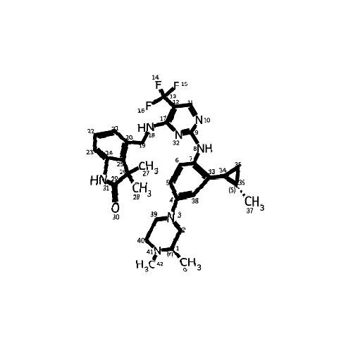 C[C@@H]1CN(c2ccc(Nc3ncc(C(F)(F)F)c(NCc4cccc5c4C(C)(C)C(=O)N5)n3)c(C3C[C@@H]3C)c2)CCN1C